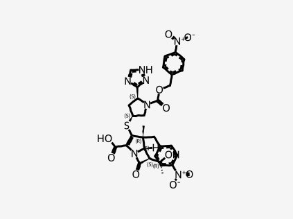 C[C@@H](O)[C@H]1C(=O)N2C(C(=O)O)=C(S[C@H]3C[C@@H](c4nc[nH]n4)N(C(=O)OCc4ccc([N+](=O)[O-])cc4)C3)[C@](C)(Cc3ccc([N+](=O)[O-])cc3)[C@H]12